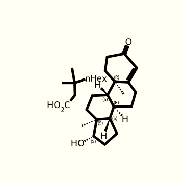 CCCCCCC(C)(C)CC(=O)O.C[C@]12CC[C@H]3[C@@H](CCC4=CC(=O)CC[C@@]43C)[C@@H]1CC[C@@H]2O